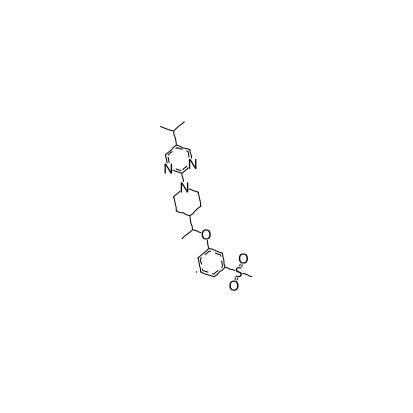 CC(C)c1cnc(N2CCC(C(C)Oc3c[c]cc(S(C)(=O)=O)c3)CC2)nc1